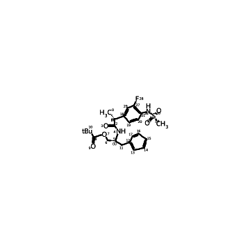 C[C@@H](C(=O)N[C@H](COC(=O)C(C)(C)C)Cc1ccccc1)c1ccc(NS(C)(=O)=O)c(F)c1